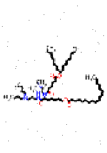 CCCCC/C=C\C/C=C\CCCCCCCC(=O)OCCCCCC(C(=O)NCCCN(CCCC)CCCC)N(CCN(C)C)C(=O)CCCCC(=O)OC(CCCCCCCC)CCCCCCCC